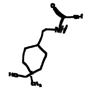 C[P]1(O)CCC(CNC(=O)O)CC1